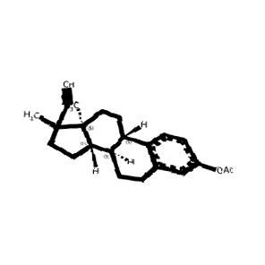 C#CC1(C)CC[C@H]2[C@@H]3CCc4cc(OC(C)=O)ccc4[C@H]3CC[C@@]21C